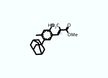 COC(=O)/C(=C/c1cc(C23CC4CC(CC(C4)C2)C3)c(C)cc1Br)C(=O)O